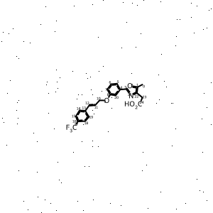 Cc1oc(-c2cccc(OCC=Cc3ccc(C(F)(F)F)cc3)c2)nc1CC(=O)O